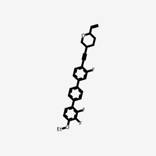 C=CC1CCC(C#Cc2ccc(-c3ccc(-c4ccc(OCC)c(F)c4F)cc3)cc2F)CO1